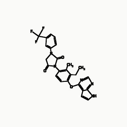 CCc1c(Oc2ncnc3[nH]ccc23)ccc(N2C(=O)CN(c3cccc(C(F)(F)F)c3)C2=O)c1C